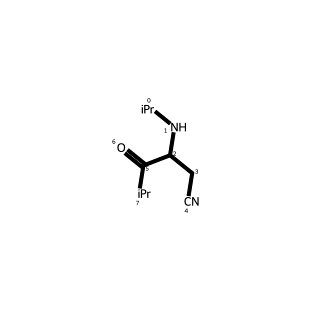 CC(C)NC(CC#N)C(=O)C(C)C